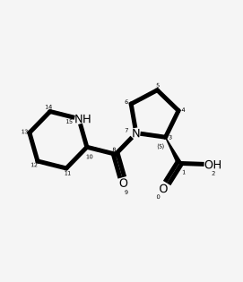 O=C(O)[C@@H]1CCCN1C(=O)C1CCCCN1